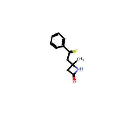 CC1(CC(=S)c2ccccc2)CC(=O)N1